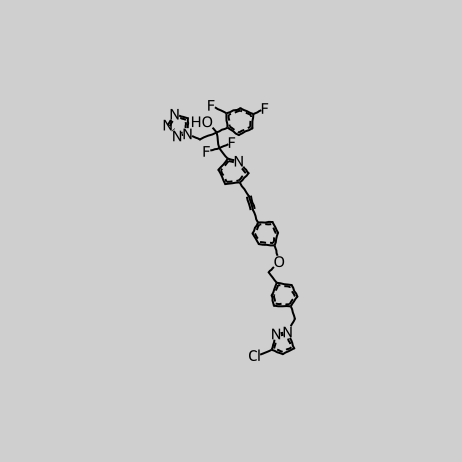 OC(Cn1cnnn1)(c1ccc(F)cc1F)C(F)(F)c1ccc(C#Cc2ccc(OCc3ccc(Cn4ccc(Cl)n4)cc3)cc2)cn1